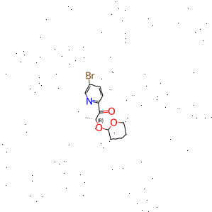 C[C@@H](OC1CCCCO1)C(=O)c1ccc(Br)cn1